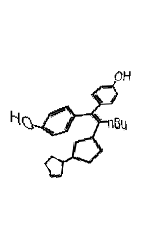 CCCCC(=C(c1ccc(O)cc1)c1ccc(O)cc1)C1CCC(C2CCCC2)C1